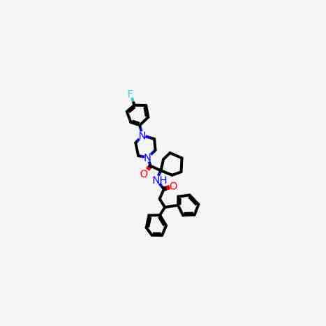 O=C(CC(c1ccccc1)c1ccccc1)NC1(C(=O)N2CCN(c3ccc(F)cc3)CC2)CCCCC1